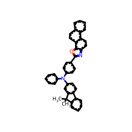 CC1(C)c2ccccc2-c2ccc(N(c3ccccc3)c3ccc(-c4nc5ccc6c7ccccc7ccc6c5o4)cc3)cc21